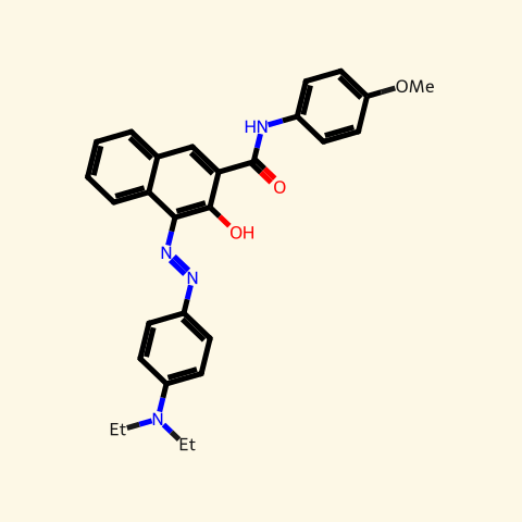 CCN(CC)c1ccc(N=Nc2c(O)c(C(=O)Nc3ccc(OC)cc3)cc3ccccc23)cc1